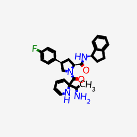 CC(N)C1(C(=O)N2C[C@@H](c3ccc(F)cc3)C[C@H]2C(=O)N[C@@H]2CCc3ccccc32)C=CC=CN1